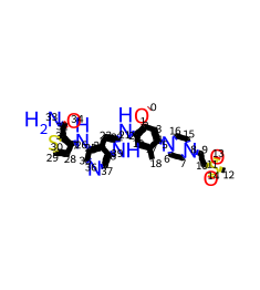 COc1cc(N2CCN(CCS(C)(=O)=O)CC2)c(C)cc1Nc1cc2c(Nc3ccsc3C(N)=O)cncc2[nH]1